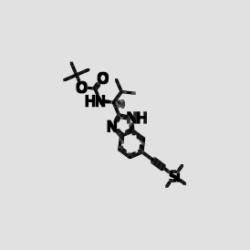 CC(C)[C@H](NC(=O)OC(C)(C)C)c1nc2ccc(C#C[Si](C)(C)C)cc2[nH]1